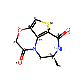 C[C@H]1CN2C(=O)COc3csc(c32)C(=O)N1